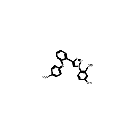 COc1ccc(-n2cc(-c3ccccc3Sc3ccc([N+](=O)[O-])cc3)nn2)c(OC)c1